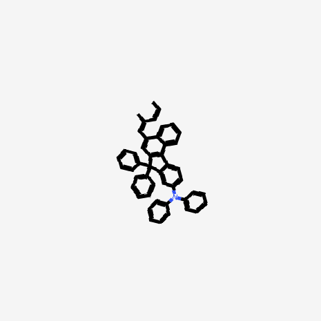 C/C=C\C(C)=C/c1cc2c(c3ccccc13)-c1ccc(N(c3ccccc3)c3ccccc3)cc1C2(c1ccccc1)c1ccccc1